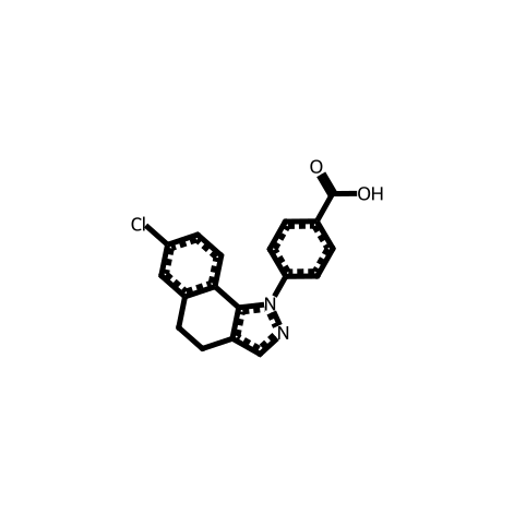 O=C(O)c1ccc(-n2ncc3c2-c2ccc(Cl)cc2CC3)cc1